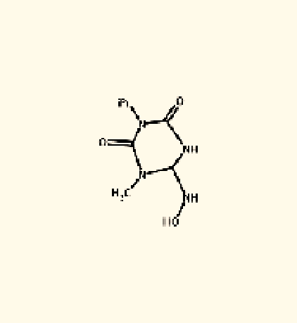 CC(C)N1C(=O)NC(NO)N(C)C1=O